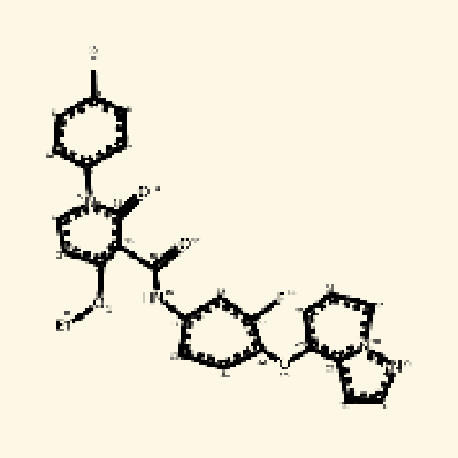 CCOc1ccn(-c2ccc(F)cc2)c(=O)c1C(=O)Nc1ccc(Oc2cccn3nccc23)c(F)c1